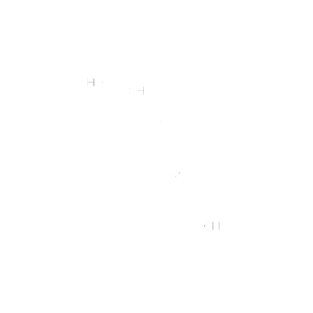 CC#CCOc1ccc2cc(C=C(C)C)ccc2c1